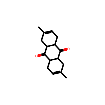 CC1=CCC2C(=O)C3CC(C)=CCC3C(=O)C2C1